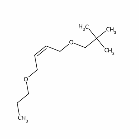 CCCOC/C=C\COCC(C)(C)C